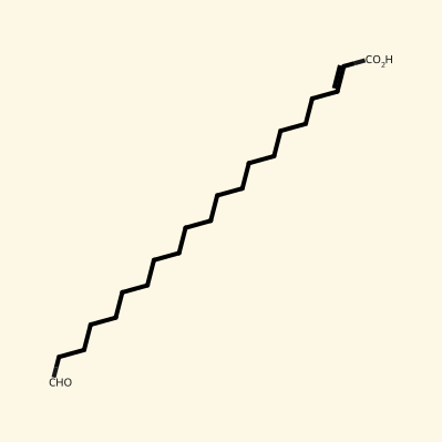 O=CCCCCCCCCCCCCCCCCCC=CC(=O)O